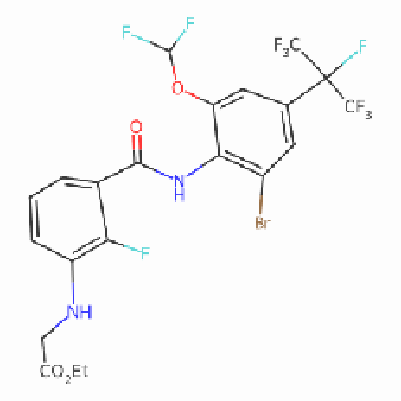 CCOC(=O)CNc1cccc(C(=O)Nc2c(Br)cc(C(F)(C(F)(F)F)C(F)(F)F)cc2OC(F)F)c1F